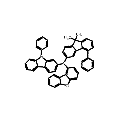 CC1(C)c2ccc(N(c3ccc4c5ccccc5n(-c5ccccc5)c4c3)c3cccc4oc5ccccc5c34)cc2-c2c(-c3ccccc3)cccc21